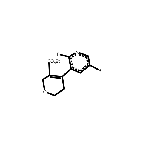 CCOC(=O)C1=C(c2cc(Br)cnc2F)CCOC1